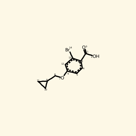 O=C(O)c1ccc(OCC2CC2)cc1Br